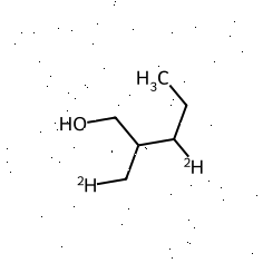 [2H]CC(CO)C([2H])CC